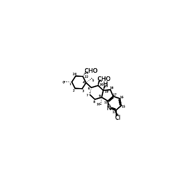 C[C@H]1CC[C@](C)([C@H]2CC[C@]3(C)c4nc(Cl)ccc4C[C@H]3[C@@H]2C=O)[C@@H](C=O)C1